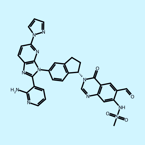 CS(=O)(=O)Nc1cc2ncn([C@H]3CCc4cc(-n5c(-c6cccnc6N)nc6ccc(-n7cccn7)nc65)ccc43)c(=O)c2cc1C=O